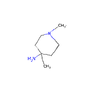 [CH2]N1CCC(C)(N)CC1